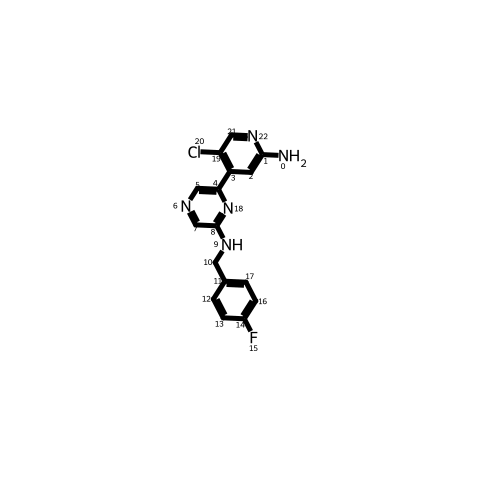 Nc1cc(-c2cncc(NCc3ccc(F)cc3)n2)c(Cl)cn1